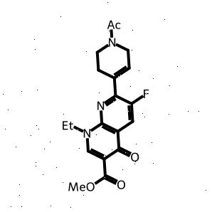 CCn1cc(C(=O)OC)c(=O)c2cc(F)c(C3=CCN(C(C)=O)CC3)nc21